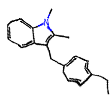 CCc1ccc(Cc2c(C)n(C)c3ccccc23)cc1